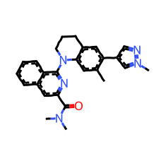 Cc1cc2c(cc1-c1cnn(C)c1)CCCN2c1nc(C(=O)N(C)C)cc2ccccc12